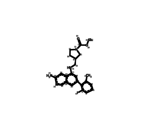 Cc1cccc(F)c1-c1cc(NC[C@H]2CCN(C(=O)OC(C)(C)C)C2)c2cc(N)ncc2c1